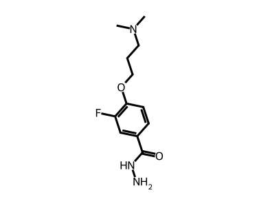 CN(C)CCCOc1ccc(C(=O)NN)cc1F